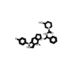 C[C@H]1C2=CNN(c3ccc(F)cc3)C2=CC2=C1[C@@H](CC(NC(=O)N1CCCC(O)C1)c1ccccc1)CC2